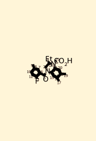 CCC1CN(C(=O)c2cc(C)ccc2F)c2cc(C)c(C)cc2N1C(=O)O